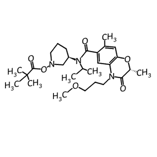 COCCCN1C(=O)[C@@H](C)Oc2cc(C)c(C(=O)N(C(C)C)[C@@H]3CCCN(OC(=O)C(C)(C)C)C3)cc21